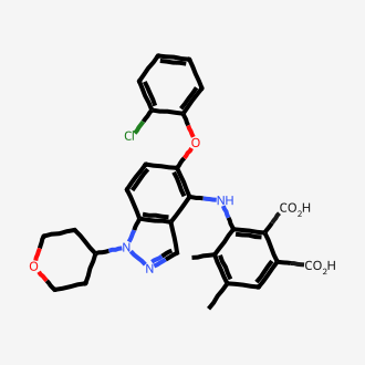 Cc1cc(C(=O)O)c(C(=O)O)c(Nc2c(Oc3ccccc3Cl)ccc3c2cnn3C2CCOCC2)c1C